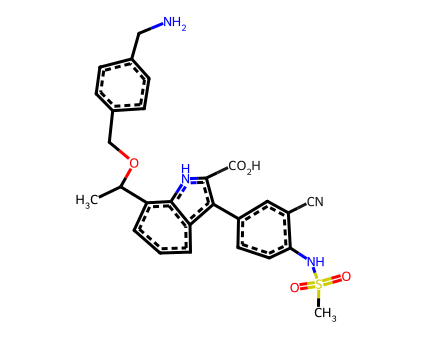 CC(OCc1ccc(CN)cc1)c1cccc2c(-c3ccc(NS(C)(=O)=O)c(C#N)c3)c(C(=O)O)[nH]c12